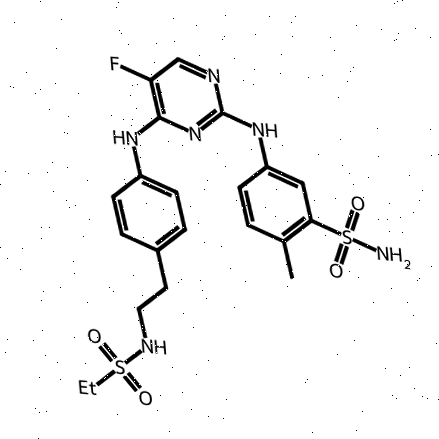 CCS(=O)(=O)NCCc1ccc(Nc2nc(Nc3ccc(C)c(S(N)(=O)=O)c3)ncc2F)cc1